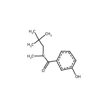 CN(CC(C)(C)C)C(=O)c1cccc(O)c1